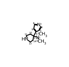 CN(C)C1(c2ccncc2)CCNCC1